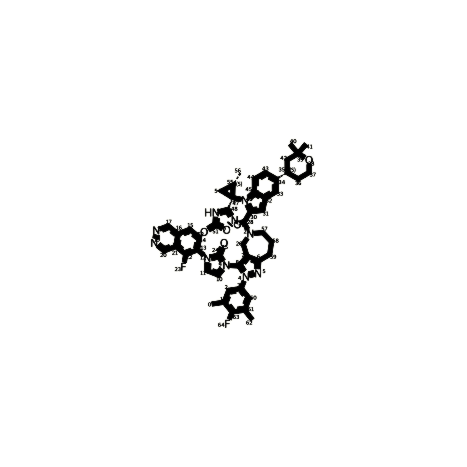 Cc1cc(-n2nc3c(c2-n2ccn(-c4ccc5cnncc5c4F)c2=O)CN(C(=O)c2cc4cc([C@H]5CCOC(C)(C)C5)ccc4n2[C@@]2(c4noc(=O)[nH]4)C[C@@H]2C)CCC3)cc(C)c1F